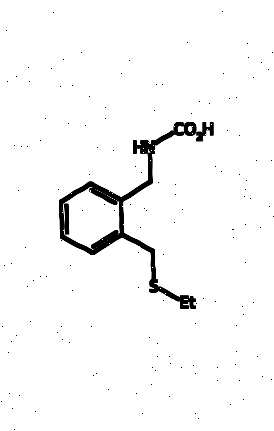 CCSCc1ccccc1CNC(=O)O